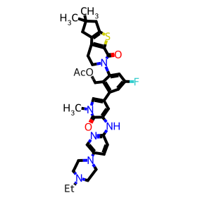 CCN1CCN(c2ccc(Nc3cc(-c4cc(F)cc(N5CCc6c(sc7c6CC(C)(C)C7)C5=O)c4COC(C)=O)cn(C)c3=O)nc2)CC1